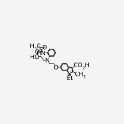 CCn1c(C)c(C(=O)O)c2ccc(OCCN(CCO)c3ccccc3NS(C)(=O)=O)cc21